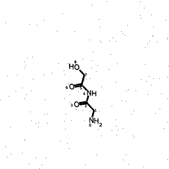 NCC(=O)NC(=O)CO